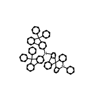 c1ccc(N2c3ccccc3C3(c4ccccc4-c4c(N(c5ccc6c(c5)-c5ccccc5C6(c5ccccc5)c5ccccc5)c5ccc6c(c5)C(c5ccccc5)(c5ccccc5)c5ccccc5-6)cccc43)c3ccccc32)cc1